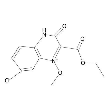 CCOC(=O)c1c(=O)[nH]c2ccc(Cl)cc2[n+]1OC